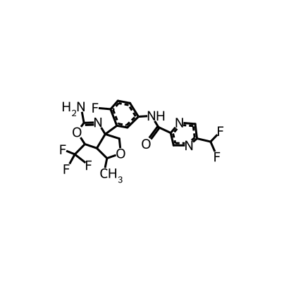 CC1OCC2(c3cc(NC(=O)c4cnc(C(F)F)cn4)ccc3F)N=C(N)OC(C(F)(F)F)C12